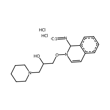 Cl.Cl.OC(CON1C=Cc2ccccc2C1N=[C:1])CN1CCCCC1